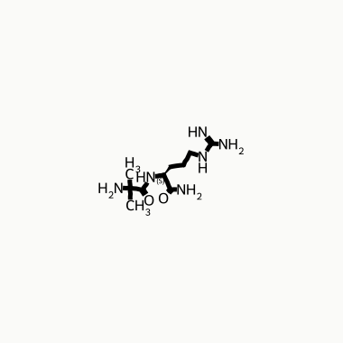 CC(C)(N)C(=O)N[C@@H](CCCNC(=N)N)C(N)=O